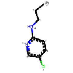 CC(C)[CH]CNc1ccc(Cl)cn1